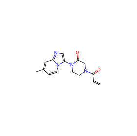 C=CC(=O)N1CCN(c2cnc3cc(C)ccn23)C(=O)C1